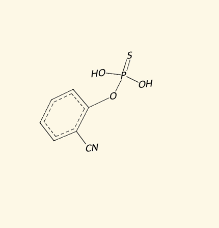 N#Cc1ccccc1OP(O)(O)=S